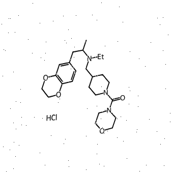 CCN(CC1CCN(C(=O)N2CCOCC2)CC1)C(C)Cc1ccc2c(c1)OCCO2.Cl